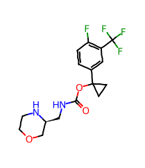 O=C(NC[C@H]1COCCN1)OC1(c2ccc(F)c(C(F)(F)F)c2)CC1